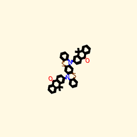 CC1(C)c2ccccc2C(=O)c2ccc(-n3c4ccccc4sc4cc5c(cc43)sc3ccccc3n5-c3ccc4c(c3)C(C)(C)c3ccccc3C4=O)cc21